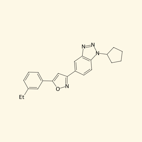 CCc1cccc(-c2cc(-c3ccc4c(c3)nnn4C3CCCC3)no2)c1